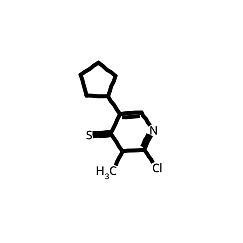 CC1C(=S)C(C2CCCC2)=CN=C1Cl